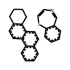 C1=CSc2ccccc2C=N1.c1ccc2c(c1)ccc1c3c(ccc12)CCCC3